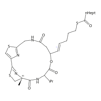 CCCCCCCC(=O)SCCC/C=C/C1CC(=O)NCc2nc(cs2)C2=N[C@@](C)(CS2)C(=O)NC(C(C)C)C(=O)O1